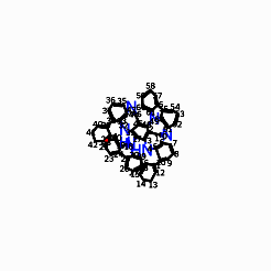 N#Cc1c(Nc2ccccc2C2=CCCC=C2)c(-n2c3ccccc3c3ccccc32)c(Nc2ccccc2C2=CCCC=C2)c(C#N)c1-n1c2ccccc2c2ccccc21